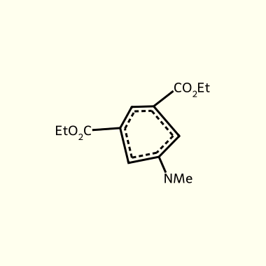 CCOC(=O)c1cc(NC)cc(C(=O)OCC)c1